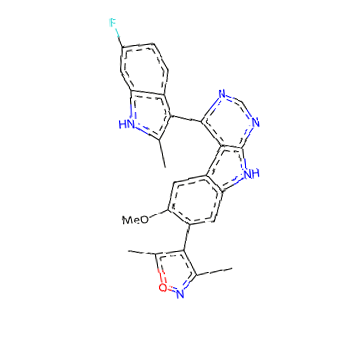 COc1cc2c(cc1-c1c(C)noc1C)[nH]c1ncnc(-c3c(C)[nH]c4cc(F)ccc34)c12